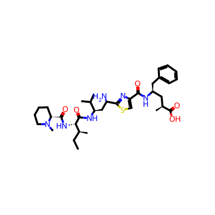 CC[C@H](C)[C@H](NC(=O)[C@H]1CCCCN1C)C(=O)N[C@H](C[C@@H](N)c1nc(C(=O)N[C@@H](Cc2ccccc2)C[C@H](C)C(=O)O)cs1)C(C)C